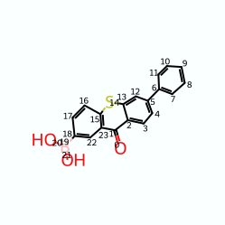 O=c1c2ccc(-c3ccccc3)cc2sc2ccc(B(O)O)cc12